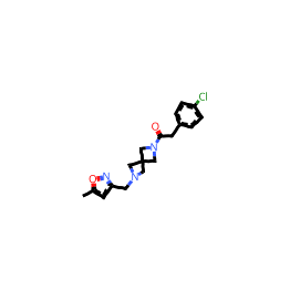 Cc1cc(CN2CC3(C2)CN(C(=O)Cc2ccc(Cl)cc2)C3)no1